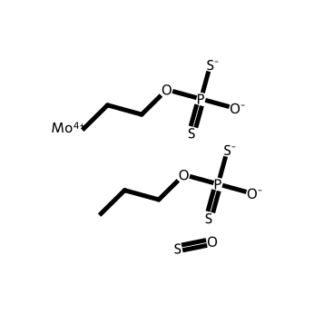 CCCOP([O-])(=S)[S-].CCCOP([O-])(=S)[S-].O=S.[Mo+4]